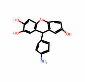 Nc1ccc(C2c3cc(O)ccc3Oc3cc(O)c(O)cc32)cc1